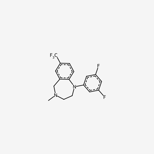 CN1CCN(c2cc(F)cc(F)c2)c2ccc(C(F)(F)F)cc2C1